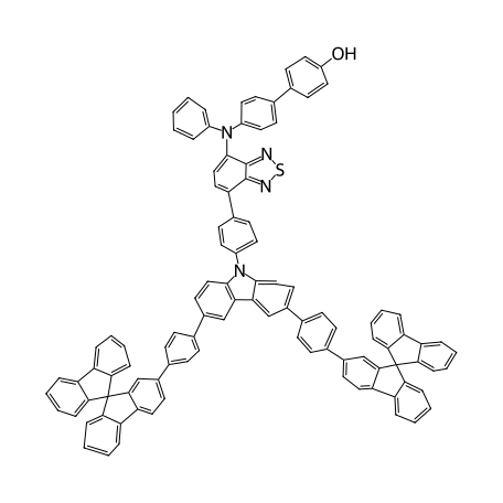 Oc1ccc(-c2ccc(N(c3ccccc3)c3ccc(-c4ccc(-n5c6ccc(-c7ccc(-c8ccc9c(c8)C8(c%10ccccc%10-c%10ccccc%108)c8ccccc8-9)cc7)cc6c6cc(-c7ccc(-c8ccc9c(c8)C8(c%10ccccc%10-c%10ccccc%108)c8ccccc8-9)cc7)ccc65)cc4)c4nsnc34)cc2)cc1